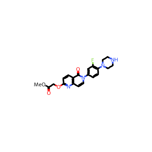 COC(=O)COc1ccc2c(=O)n(-c3ccc(N4CCNCC4)c(F)c3)ccc2n1